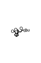 CC(C)(C)C(=O)CC1C2CC3CC2C(=O)OC31